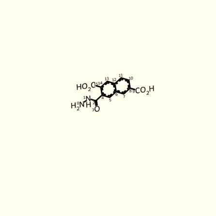 NNC(=O)c1cc2cc(C(=O)O)ccc2cc1C(=O)O